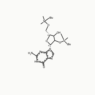 CC(C)(C)[Si](C)(C)OC[C@H]1O[C@@H](n2cnc3c(=O)[nH]c(N)nc32)C(O[Si](C)(C)C(C)(C)C)C1O